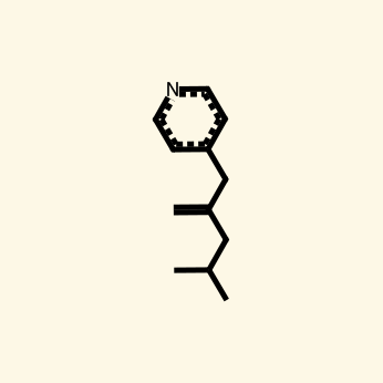 C=C(Cc1ccncc1)CC(C)C